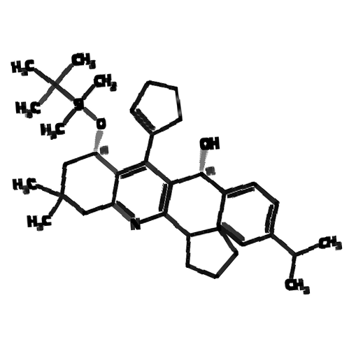 CC(C)c1ccc([C@@H](O)c2c(C3CCCC3)nc3c(c2C2=CCCC2)[C@@H](O[Si](C)(C)C(C)(C)C)CC(C)(C)C3)cc1